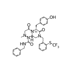 CN1CC(=O)N2[C@@H](Cc3ccc(O)cc3)C(=O)N(Cc3ccccc3SC(F)(F)F)C[C@@H]2N1C(=O)NCc1ccccc1